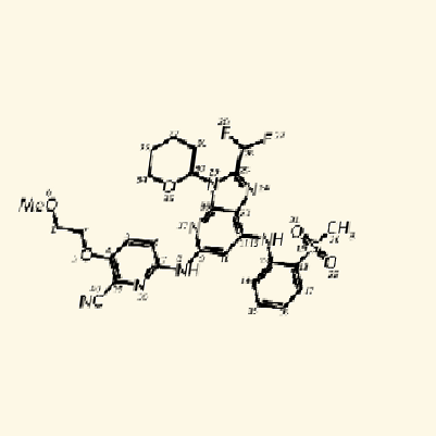 COCCOc1ccc(Nc2cc(Nc3ccccc3S(C)(=O)=O)c3nc(C(F)F)n(C4CCCCO4)c3n2)nc1C#N